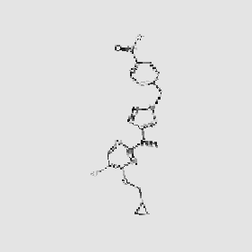 O=[N+]([O-])c1ccc(Cn2cc(Nc3ncc(Cl)c(OCC4CC4)n3)cn2)cc1